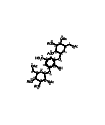 CC(=O)OC[C@H]1OC(Oc2cc(C(=O)O)cc(OC3O[C@H](COC(C)=O)[C@H](OC(C)=O)[C@H](OC(C)=O)[C@H]3OC(C)=O)c2O)[C@H](OC(C)=O)[C@@H](OC(C)=O)[C@H]1OC(C)=O